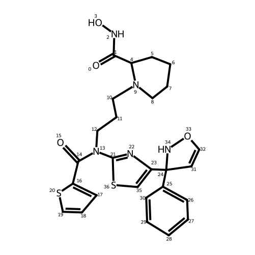 O=C(NO)C1CCCCN1CCCN(C(=O)c1cccs1)c1nc(C2(c3ccccc3)C=CON2)cs1